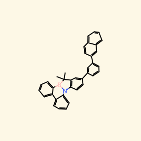 CC1(C)B2c3ccccc3-c3ccccc3N2c2ccc(-c3cccc(-c4ccc5ccccc5c4)c3)cc21